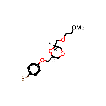 COCCOC[C@@]1(C)COC[C@@H](COc2ccc(Br)cc2)O1